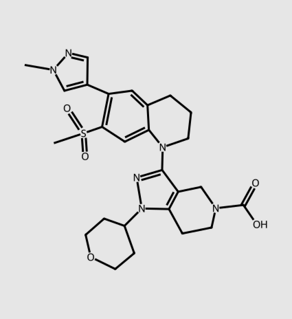 Cn1cc(-c2cc3c(cc2S(C)(=O)=O)N(c2nn(C4CCOCC4)c4c2CN(C(=O)O)CC4)CCC3)cn1